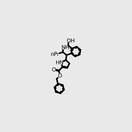 CCCC(N)C(c1ccccc1CO)C1CC=C(C(=O)OCc2ccccc2)N1